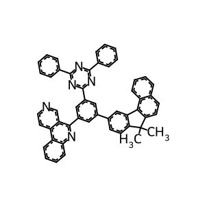 CC1(C)c2ccc(-c3cc(-c4nc(-c5ccccc5)nc(-c5ccccc5)n4)cc(-c4nc5ccccc5c5ccncc45)c3)cc2-c2c1ccc1ccccc21